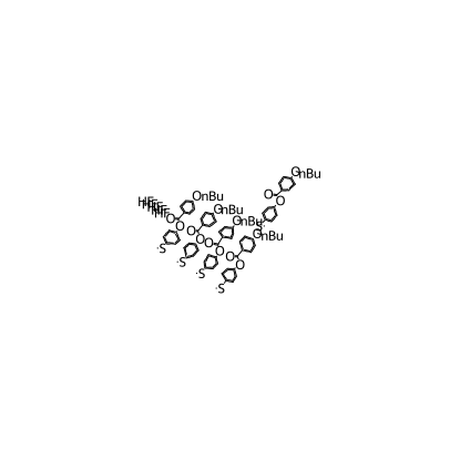 CCCCOc1ccc(C(=O)Oc2ccc([S])cc2)cc1.CCCCOc1ccc(C(=O)Oc2ccc([S])cc2)cc1.CCCCOc1ccc(C(=O)Oc2ccc([S])cc2)cc1.CCCCOc1ccc(C(=O)Oc2ccc([S])cc2)cc1.CCCCOc1ccc(C(=O)Oc2ccc([S])cc2)cc1.F.F.F.F.F